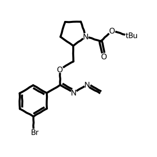 C=N/N=C(\OCC1CCCN1C(=O)OC(C)(C)C)c1cccc(Br)c1